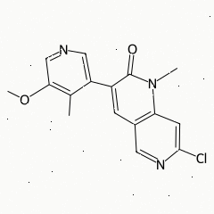 COc1cncc(-c2cc3cnc(Cl)cc3n(C)c2=O)c1C